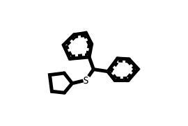 c1ccc(C(SC2CCCC2)c2ccccc2)cc1